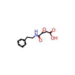 O=C(O)C1OC1C(=O)NCCc1ccccc1